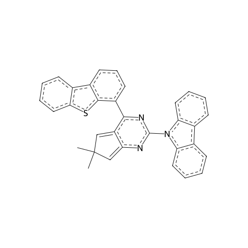 CC1(C)C=c2nc(-n3c4ccccc4c4ccccc43)nc(-c3cccc4c3sc3ccccc34)c2=C1